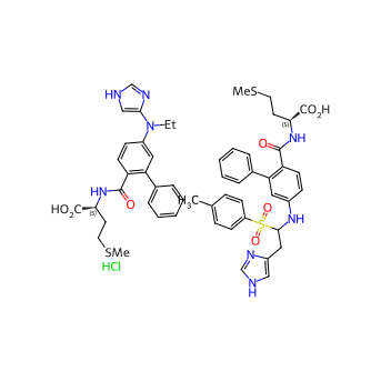 CCN(c1ccc(C(=O)N[C@@H](CCSC)C(=O)O)c(-c2ccccc2)c1)c1c[nH]cn1.CSCC[C@H](NC(=O)c1ccc(NC(Cc2c[nH]cn2)S(=O)(=O)c2ccc(C)cc2)cc1-c1ccccc1)C(=O)O.Cl